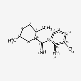 CC1CCC(C)N(C(=N)n2ccnc(Cl)c2=N)C1